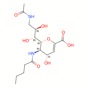 CCCCC(=O)N[C@H]1[C@H]([C@H](O)[C@H](O)CNC(C)=O)OC(C(=O)O)=C[C@@H]1O